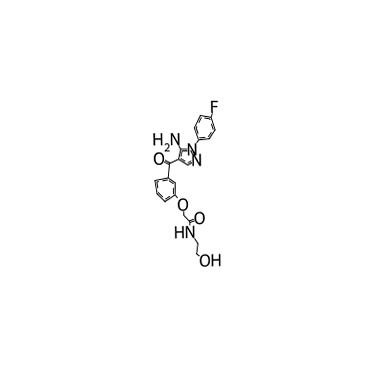 Nc1c(C(=O)c2cccc(OCC(=O)NCCO)c2)cnn1-c1ccc(F)cc1